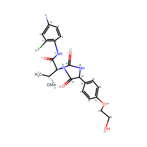 CO[C@H](C)[C@@H](C(=O)Nc1ccc(I)cc1F)N1C(=O)NC(c2ccc(OCCO)cc2)C1=O